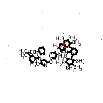 Bc1c(B)c(B)c(-c2cccc(-c3c(B)c(B)c(B)c(B)c3B)c2Nc2ccccc2Nc2cccc(Oc3cc(N(c4cc(C(C)(C)C)ccn4)c4ccccc4C)c(C)cn3)c2)c(B)c1B